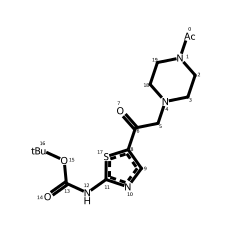 CC(=O)N1CCN(CC(=O)c2cnc(NC(=O)OC(C)(C)C)s2)CC1